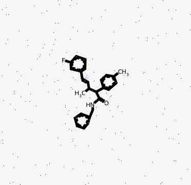 Cc1ccc(C(C(=O)NCc2ccccc2)C(C)/C=C/c2cccc(F)c2)cc1